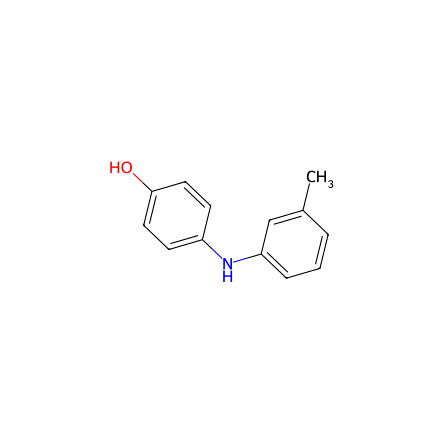 Cc1cccc(Nc2ccc(O)cc2)c1